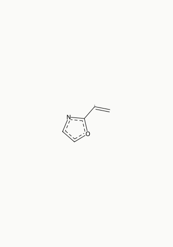 C=[C]c1ncco1